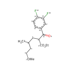 CCOC(=O)C(CC(C)CCOC)C(=O)c1ccc(F)c(F)c1